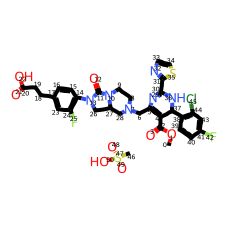 COC(=O)C1=C(CN2CCN3C(=O)N(c4ccc(CCC(=O)O)cc4F)CC3C2)N=C(c2nccs2)NC1c1ccc(F)cc1Cl.CS(=O)(=O)O